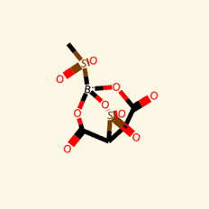 CS(=O)(=O)[B-]12OC(=O)CC(C(=O)O1)S(=O)(=O)O2